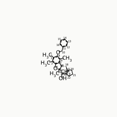 Cc1c(C)c2c(c(C)c1OCc1ccccc1)[C@H](CN1CCC[C@H]1CO)C(C)(C)O2